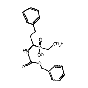 O=C(O)CP(=O)(O)C(CCc1ccccc1)NC(=O)OCc1ccccc1